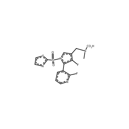 CN(Cc1cn(S(=O)(=O)c2nccs2)c(-c2cccnc2F)c1F)C(=O)O